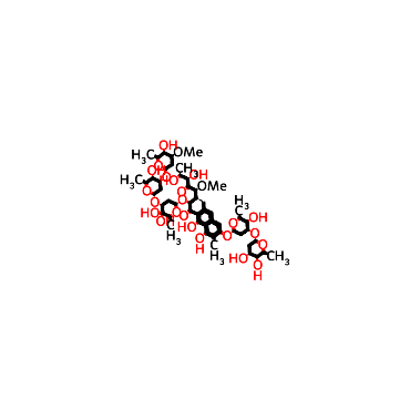 CO[C@H](C(=O)[C@@H](O)[C@@H](C)O)[C@@H]1Cc2cc3cc(O[C@H]4C[C@@H](O[C@H]5C[C@@H](O)[C@H](O)C(C)O5)[C@H](O)C(C)O4)c(C)c(O)c3c(O)c2C(=O)[C@H]1O[C@H]1C[C@@H](O[C@H]2C[C@@H](O[C@H]3C[C@@H](OC)[C@H](O)C(C)O3)[C@@H](O)C(C)O2)C(O)(O)C(C)O1